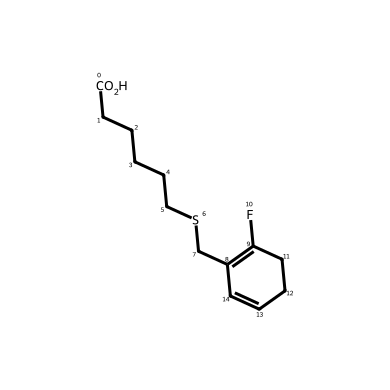 O=C(O)CCCCCSCC1=C(F)CCC=C1